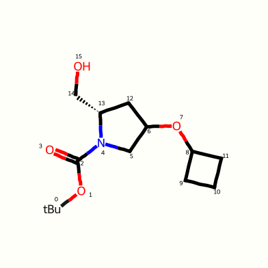 CC(C)(C)OC(=O)N1CC(OC2CCC2)C[C@H]1CO